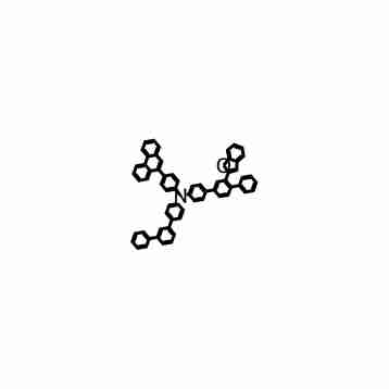 c1ccc(-c2cccc(-c3ccc(N(c4ccc(-c5ccc(-c6ccccc6)c(-c6cc7ccccc7o6)c5)cc4)c4ccc(-c5cc6ccccc6c6ccccc56)cc4)cc3)c2)cc1